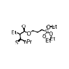 CCCC(=S)C(CC)C(=O)OCCC[Si](OCC)(OCC)OCC